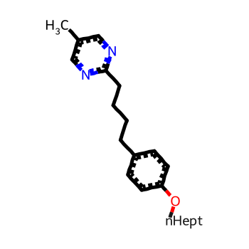 CCCCCCCOc1ccc(CCCCc2ncc(C)cn2)cc1